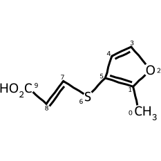 Cc1occc1SC=CC(=O)O